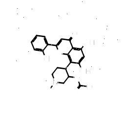 CCC(=O)OC1CN(C)CCC1c1c(O)cc(O)c2c(=O)cc(-c3ccccc3Cl)oc12